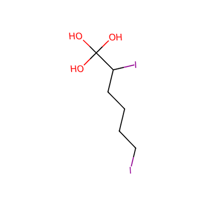 OC(O)(O)C(I)CCCCI